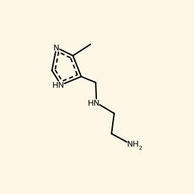 Cc1nc[nH]c1CNCCN